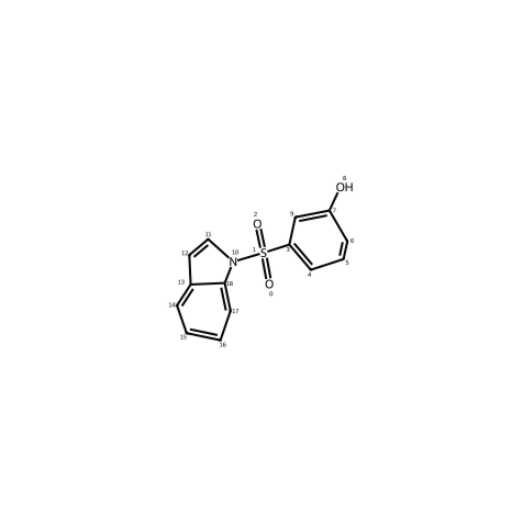 O=S(=O)(c1cccc(O)c1)n1ccc2ccccc21